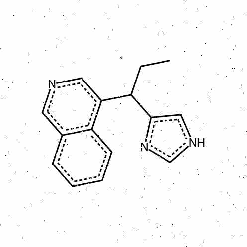 CCC(c1c[nH]cn1)c1cncc2ccccc12